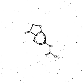 CC(=O)Nc1ccc2c(c1)OCC2=O